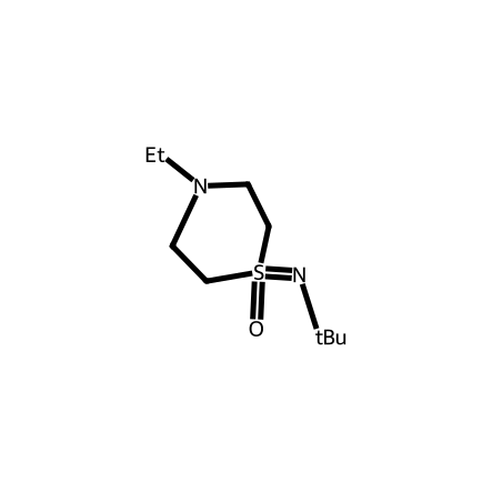 CCN1CCS(=O)(=NC(C)(C)C)CC1